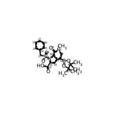 Cn1cc(B2OC(C)(C)C(C)(C)O2)c2cc(C(=O)O)n(S(=O)(=O)Cc3ccccc3)c2c1=O